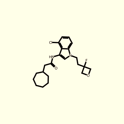 O=C(CC1CCCCCC1)Nc1cn(CCC2(F)COC2)c2cccc(Cl)c12